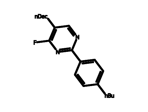 CCCCCCCCCCc1cnc(-c2ccc(CCCC)cc2)nc1F